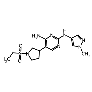 CCS(=O)(=O)N1CCC(c2cnc(Nc3cnn(C)c3)nc2N)C1